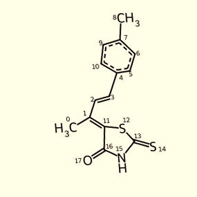 CC(/C=C/c1ccc(C)cc1)=C1SC(=S)NC1=O